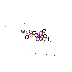 COc1ccc2c(c1OCc1ccccc1)C[C@H](C(=O)O)N(C(=O)[C@@H](OC1CC3CC3C1)c1ccccc1)C2